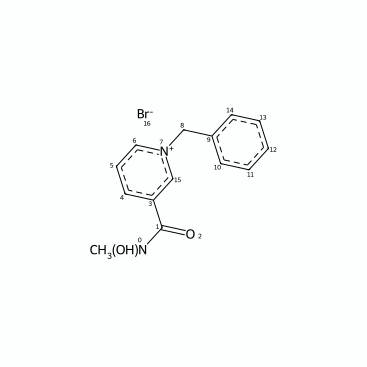 CN(O)C(=O)c1ccc[n+](Cc2ccccc2)c1.[Br-]